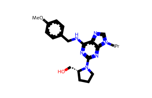 COc1ccc(CNc2nc(N3CCC[C@@H]3CO)nc3c2ncn3C(C)C)cc1